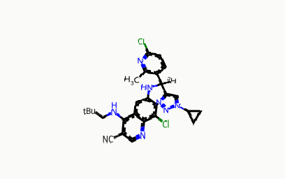 [2H]C(Nc1cc(Cl)c2ncc(C#N)c(NCC(C)(C)C)c2c1)(c1cn(C2CC2)nn1)c1ccc(Cl)nc1C